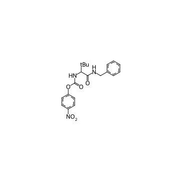 CC(C)(C)C(NC(=O)Oc1ccc([N+](=O)[O-])cc1)C(=O)NCc1ccccc1